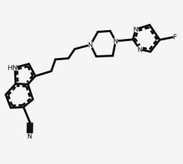 N#Cc1ccc2[nH]cc(CCCCN3CCN(c4ncc(F)cn4)CC3)c2c1